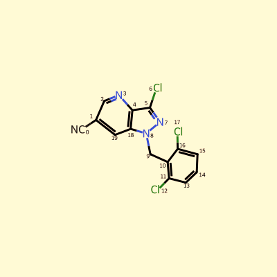 N#Cc1cnc2c(Cl)nn(Cc3c(Cl)cccc3Cl)c2c1